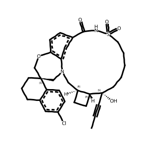 CC#C[C@]1(O)CCCCCS(=O)(=O)NC(=O)c2ccc3c(c2)N(C[C@@H]2CC[C@H]21)C[C@@]1(CCCc2cc(Cl)ccc21)CO3